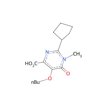 CCCCOc1c(C(=O)O)nc(C2CCCC2)n(C)c1=O